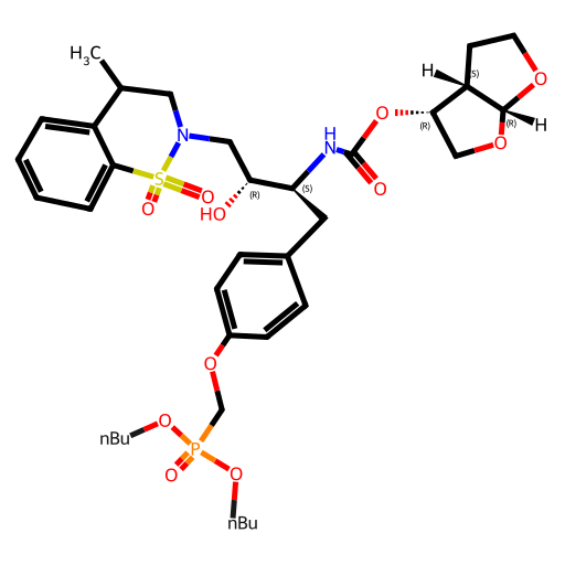 CCCCOP(=O)(COc1ccc(C[C@H](NC(=O)O[C@H]2CO[C@H]3OCC[C@H]32)[C@H](O)CN2CC(C)c3ccccc3S2(=O)=O)cc1)OCCCC